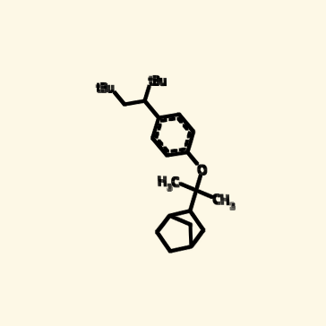 CC(C)(C)CC(c1ccc(OC(C)(C)C2CC3CCC2C3)cc1)C(C)(C)C